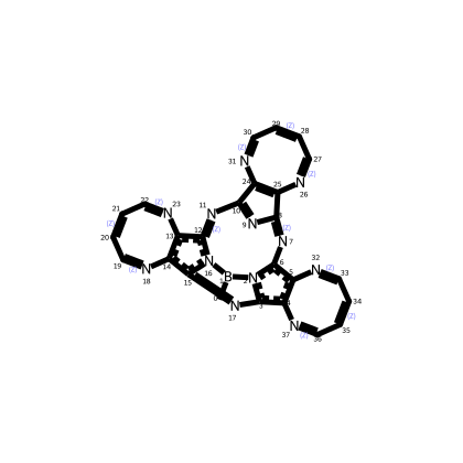 CB1n2c3c4c(c2/N=C2N=C(/N=c5/c6c(c(n51)=N3)\N=C/C=C\C=N/6)C1=C\2\N=C/C=C\C=N/1)\N=C/C=C\C=N/4